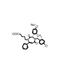 C[C@H](c1ccc(Cl)cc1)N1C(=O)C=C(c2ccccc2)N(CCCCC(=O)[O-])C(=O)[C@@H]1c1ccc(Cl)cc1.[Na+]